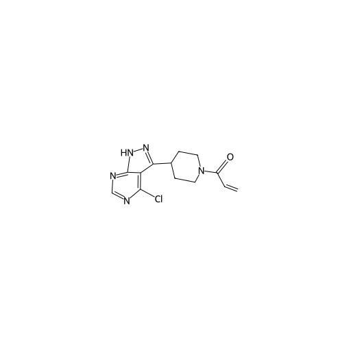 C=CC(=O)N1CCC(c2n[nH]c3ncnc(Cl)c23)CC1